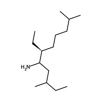 CCC(C)CC(N)[C@@H](CC)CCCC(C)C